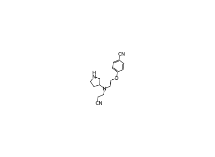 N#CCCN(CCOc1ccc(C#N)cc1)C1CCNC1